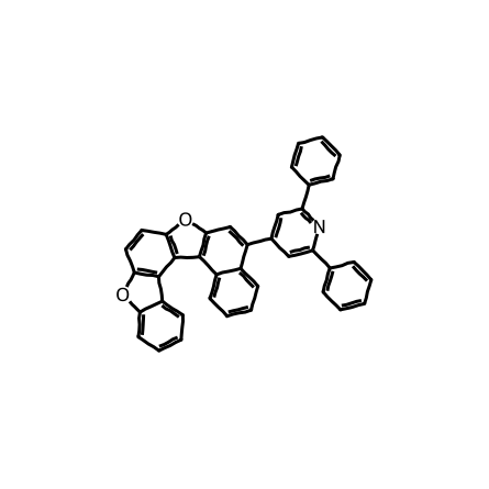 c1ccc(-c2cc(-c3cc4oc5ccc6oc7ccccc7c6c5c4c4ccccc34)cc(-c3ccccc3)n2)cc1